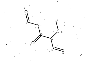 C=CC(SC)C(=O)NC=O